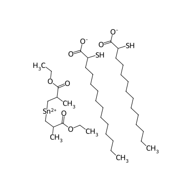 CCCCCCCCCCCCC(S)C(=O)[O-].CCCCCCCCCCCCC(S)C(=O)[O-].CCOC(=O)C(C)[CH2][Sn+2][CH2]C(C)C(=O)OCC